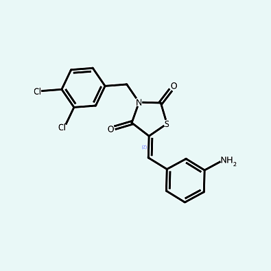 Nc1cccc(/C=C2\SC(=O)N(Cc3ccc(Cl)c(Cl)c3)C2=O)c1